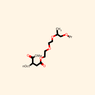 CCCCCCCCC(CC(=O)OCCOCCOC(C)COC(C)C)C(=O)OC